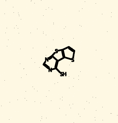 Sc1ncnc2sc3ccsc3c12